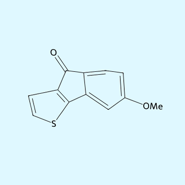 COc1ccc2c(c1)-c1sccc1C2=O